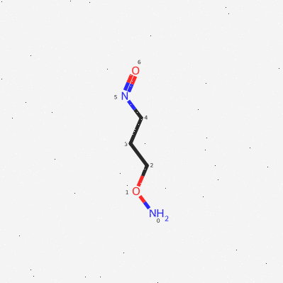 NOCCCN=O